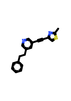 Cc1nc(C#Cc2cncc(CCc3ccccc3)c2)cs1